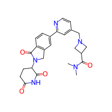 CN(C)C(=O)C1CN(Cc2ccnc(-c3ccc4c(c3)CN(C3CCC(=O)NC3=O)C4=O)c2)C1